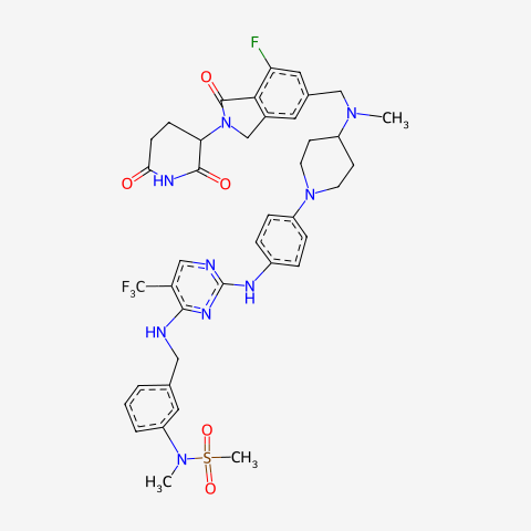 CN(Cc1cc(F)c2c(c1)CN(C1CCC(=O)NC1=O)C2=O)C1CCN(c2ccc(Nc3ncc(C(F)(F)F)c(NCc4cccc(N(C)S(C)(=O)=O)c4)n3)cc2)CC1